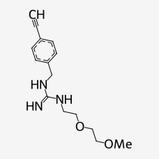 C#Cc1ccc(CNC(=N)NCCOCCOC)cc1